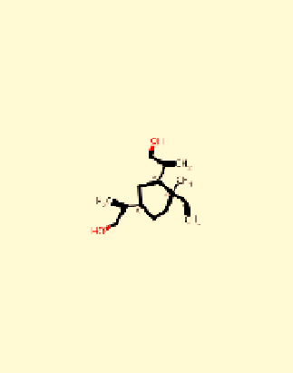 C=C[C@]1(C)CC[C@@H](C(=C)CO)C[C@H]1C(=C)CO